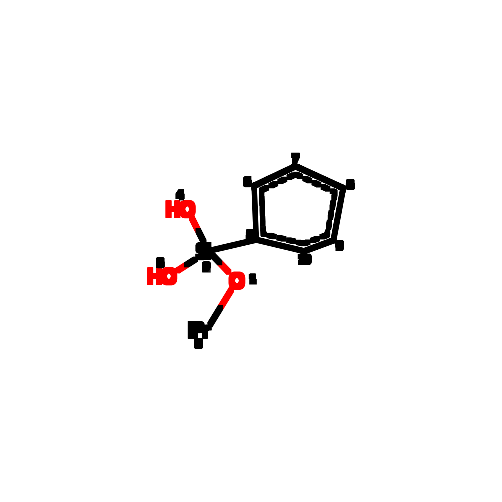 CC(C)O[Si](O)(O)c1ccccc1